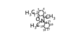 CCc1ccccc1OC(C)N(CC)c1ccccc1